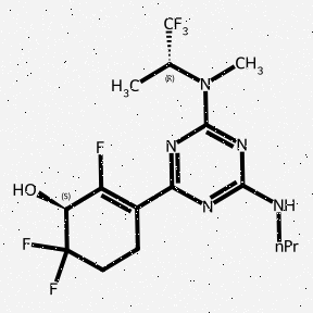 CCCNc1nc(C2=C(F)[C@H](O)C(F)(F)CC2)nc(N(C)[C@H](C)C(F)(F)F)n1